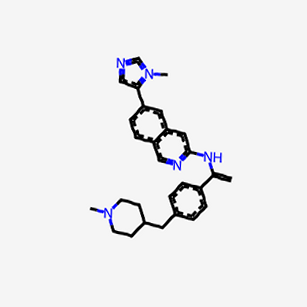 C=C(Nc1cc2cc(-c3cncn3C)ccc2cn1)c1ccc(CC2CCN(C)CC2)cc1